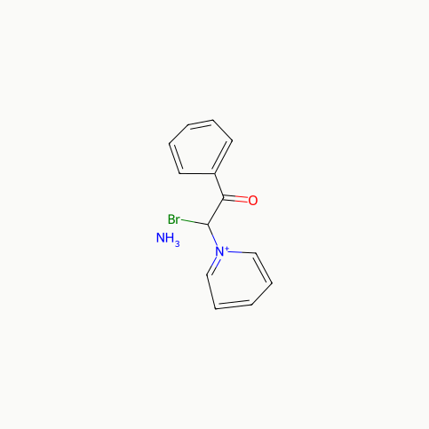 N.O=C(c1ccccc1)C(Br)[n+]1ccccc1